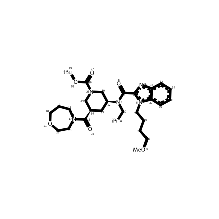 COCCCCn1c(C(=O)N(CC(C)C)[C@H]2C[C@@H](C(=O)N3CCCOCC3)CN(C(=O)OC(C)(C)C)C2)nc2ccccc21